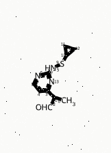 CC(C=O)c1ccnc(NSC2CC2)n1